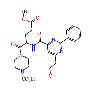 CCOC(=O)N1CCN(C(=O)C(CCC(=O)OC(C)(C)C)NC(=O)c2cc(CCO)nc(-c3ccccc3)n2)CC1